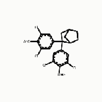 COc1c(Cl)cc(C2(c3cc(Cl)c(OC(C)=O)c(Cl)c3)CC3CCC2C3)cc1Cl